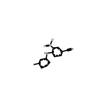 N#Cc1ccc(Nc2cccc(I)c2)c([N+](=O)[O-])c1